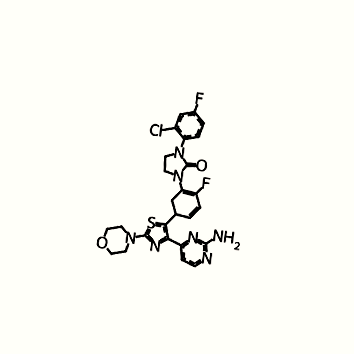 Nc1nccc(-c2nc(N3CCOCC3)sc2C2C=CC(F)=C(N3CCN(c4ccc(F)cc4Cl)C3=O)C2)n1